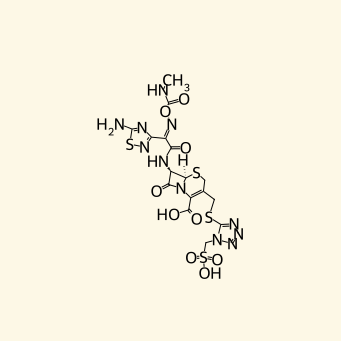 CNC(=O)O/N=C(/C(=O)N[C@@H]1C(=O)N2C(C(=O)O)=C(CSc3nnnn3CS(=O)(=O)O)CS[C@H]12)c1nsc(N)n1